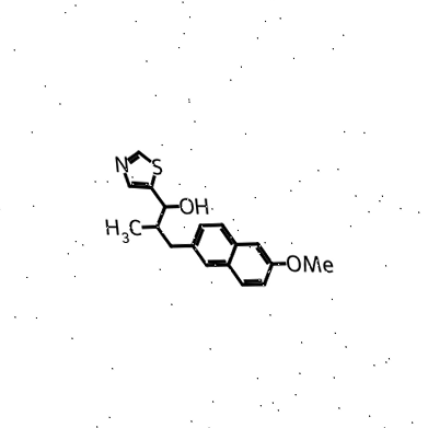 COc1ccc2cc(CC(C)C(O)c3cncs3)ccc2c1